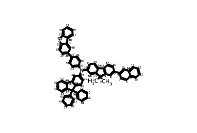 CC1(C)c2cc(-c3ccc4ccccc4c3)ccc2-c2ccc(N(c3ccc(-c4ccc5sc6ccccc6c5c4)cc3)c3ccc4c(c3)-c3ccccc3C4(c3ccccc3)c3ccccc3)cc21